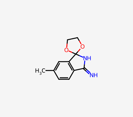 Cc1ccc2c(c1)C1(NC2=N)OCCO1